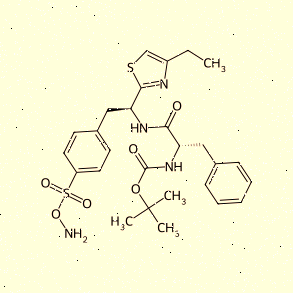 CCc1csc([C@H](Cc2ccc(S(=O)(=O)ON)cc2)NC(=O)[C@H](Cc2ccccc2)NC(=O)OC(C)(C)C)n1